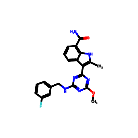 COc1nc(NCc2cccc(F)c2)nc(-c2c(C)[nH]c3c(C(N)=O)cccc23)n1